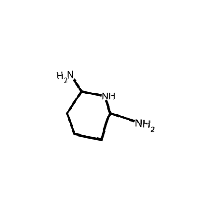 NC1CCCC(N)N1